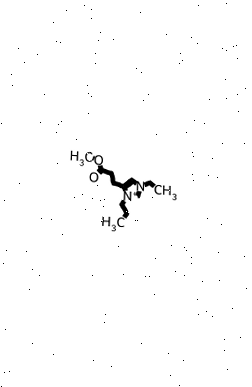 CCC[n+]1cn(CC)cc1CCC(=O)OC